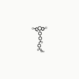 CC(C)(C)OC(=O)N1CCC(CC(=O)N2CCC(C3CCN(C4c5ccc(Cl)cc5CCc5cc(Cl)cnc54)CC3)CC2)CC1